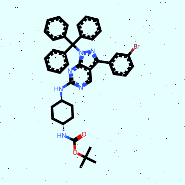 CC(C)(C)OC(=O)N[C@H]1CC[C@H](Nc2ncc3c(-c4cccc(Br)c4)nn(C(c4ccccc4)(c4ccccc4)c4ccccc4)c3n2)CC1